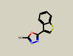 N#Cc1nnc(-c2csc3ccccc23)o1